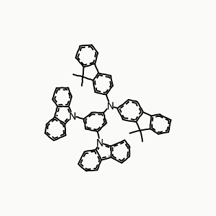 CC1(C)c2ccccc2-c2ccc(N(c3cc(-n4c5ccccc5c5ccccc54)cc(-n4c5ccccc5c5ccccc54)c3)c3ccc4c(c3)C(C)(C)c3ccccc3-4)cc21